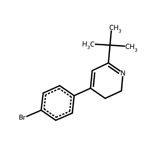 CC(C)(C)C1=NCCC(c2ccc(Br)cc2)=C1